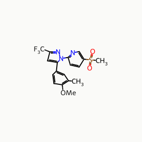 COc1ccc(-c2cc(C(F)(F)F)nn2-c2ccc(S(C)(=O)=O)cn2)cc1C